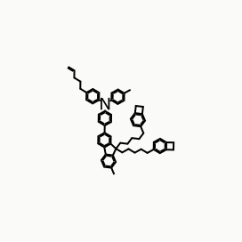 C=CCCCc1ccc(N(c2ccc(C)cc2)c2ccc(-c3ccc4c(c3)C(CCCCCc3ccc5c(c3)CC5)(CCCCCc3ccc5c(c3)CC5)c3cc(C)ccc3-4)cc2)cc1